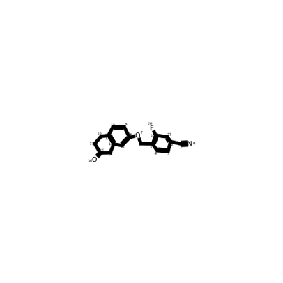 N#Cc1ccc(COc2ccc3c(c2)CC(=O)CC3)c(F)c1